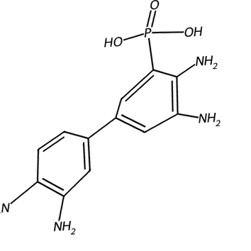 Nc1ccc(-c2cc(N)c(N)c(P(=O)(O)O)c2)cc1N